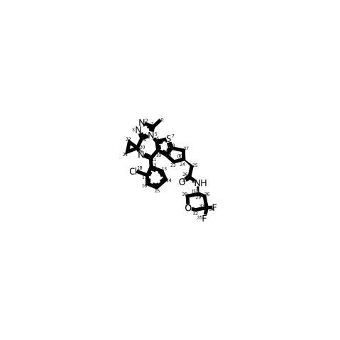 Cc1nnc2n1-c1sc3c(c1C(c1ccccc1Cl)=NC21CC1)C[C@H](CC(=O)N[C@@H]1COCC(F)(F)C1)C3